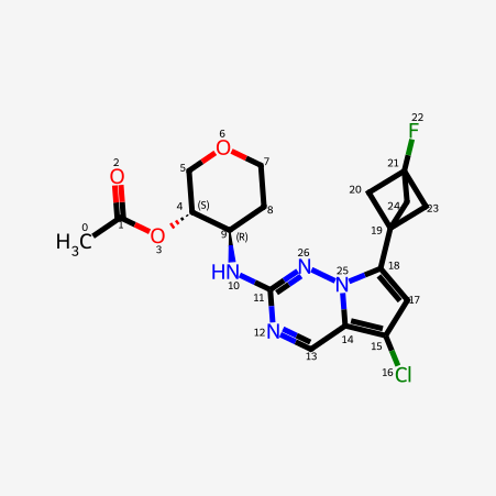 CC(=O)O[C@@H]1COCC[C@H]1Nc1ncc2c(Cl)cc(C34CC(F)(C3)C4)n2n1